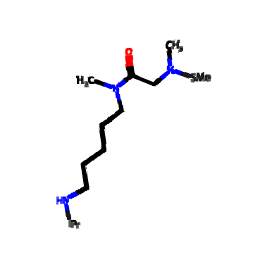 CSN(C)CC(=O)N(C)CCCCCNC(C)C